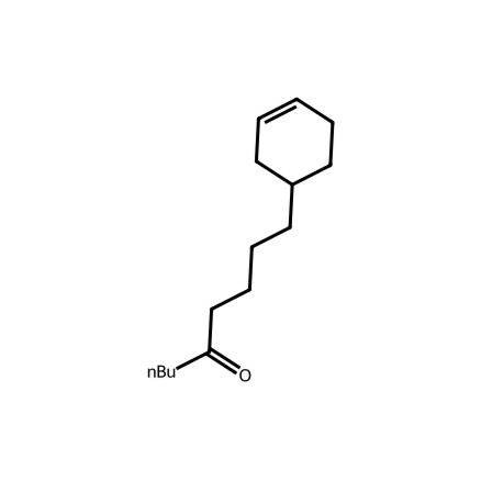 CCCCC(=O)CCCCC1CC=CCC1